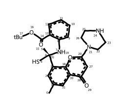 Cc1cc([C@](C)(S)Nc2ccccc2C(=O)OC(C)(C)C)c2oc(N3CCNCC3)cc(=O)c2c1